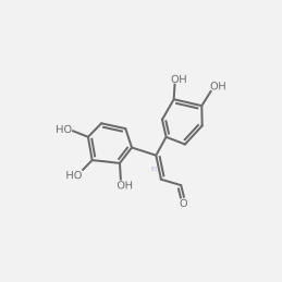 O=C/C=C(\c1ccc(O)c(O)c1)c1ccc(O)c(O)c1O